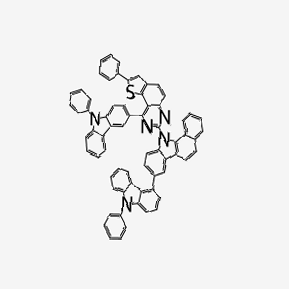 c1ccc(-c2cc3ccc4nc(-n5c6ccc(-c7cccc8c7c7ccccc7n8-c7ccccc7)cc6c6ccc7ccccc7c65)nc(-c5ccc6c(c5)c5ccccc5n6-c5ccccc5)c4c3s2)cc1